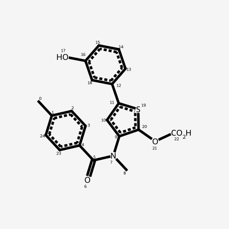 Cc1ccc(C(=O)N(C)c2cc(-c3cccc(O)c3)sc2OC(=O)O)cc1